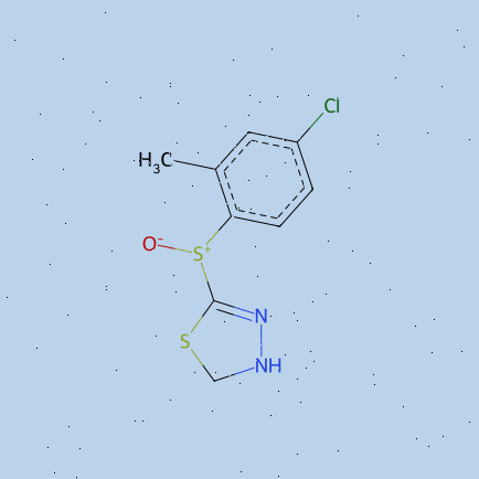 Cc1cc(Cl)ccc1[S+]([O-])C1=NNCS1